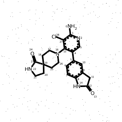 Nc1ncc(-c2ccc3c(c2)CC(=O)N3)c(N2CCC3(CCNC3=O)CC2)c1Cl